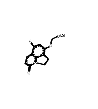 COCOc1cc(F)c2ccc(=O)n3c2c1CC3